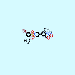 COc1ccc(Br)cc1S(=O)(=O)N1CCC(c2cc(C)c3c(c2)COC(=O)N3)CC1